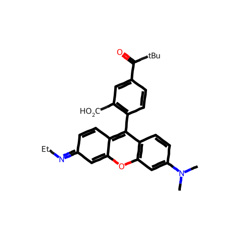 CC/N=c1\ccc2c(-c3ccc(C(=O)C(C)(C)C)cc3C(=O)O)c3ccc(N(C)C)cc3oc-2c1